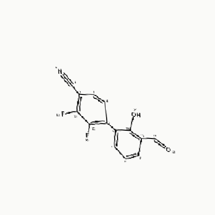 N#Cc1ccc(-c2cccc(C=O)c2O)c(F)c1F